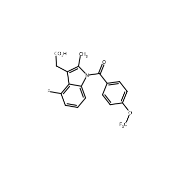 Cc1c(CC(=O)O)c2c(F)cccc2n1C(=O)c1ccc(OC(F)(F)F)cc1